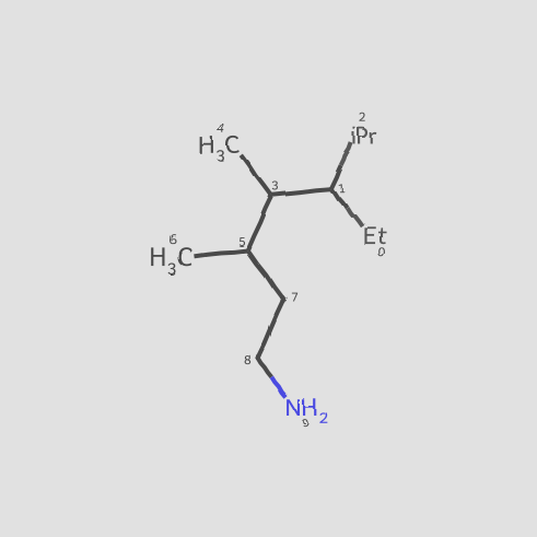 CCC(C(C)C)C(C)C(C)CCN